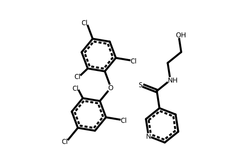 Clc1cc(Cl)c(Oc2c(Cl)cc(Cl)cc2Cl)c(Cl)c1.OCCNC(=S)c1cccnc1